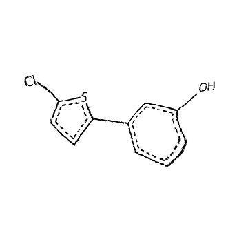 Oc1cccc(-c2ccc(Cl)s2)c1